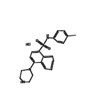 Cc1ccc(NS(=O)(=O)c2ccc(N3CCNCC3)c3ccccc23)cc1.Cl